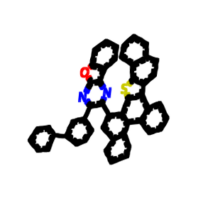 c1ccc(-c2cccc(-c3nc4oc5ccccc5c4nc3-c3cc4ccccc4c4c5ccccc5c5c6ccc7ccccc7c6sc5c34)c2)cc1